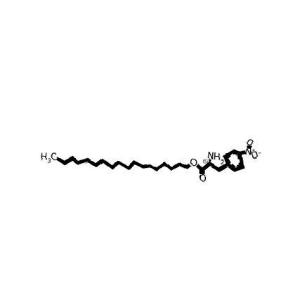 CCCCCCCCCCCCCCCCCCOC(=O)[C@@H](N)Cc1ccc([N+](=O)[O-])cc1